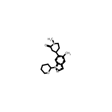 Cc1cc2cnn(C3CCCCO3)c2cc1C1CCN(C)C(=O)C1